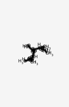 CCCCCCC(C)(C)C(=O)OCC(CN1CC1C)OC(=O)NCCCCCCN1C(=O)C(CCCCCCNC(=O)O)C(=O)N(CCCCCCNC(=O)OC(COC(=O)C(C)(C)CCCCCC)CN2CC2C)C1=O